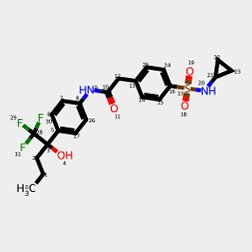 CCCC(O)(c1ccc(NC(=O)Cc2ccc(S(=O)(=O)NC3CC3)cc2)cc1)C(F)(F)F